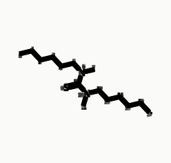 CCCCCCN(C)C(=S)N(C)CCCCCC